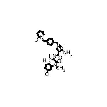 CC(NC(=O)c1cn(Cc2ccc(Cn3ccccc3=O)cc2)nc1N)C(=O)N(C)c1cccc(Cl)c1